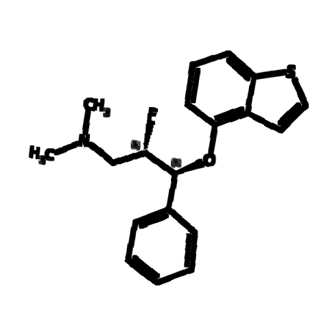 CN(C)C[C@H](F)[C@@H](Oc1cccc2sccc12)c1ccccc1